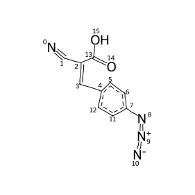 N#CC(=Cc1ccc(N=[N+]=[N-])cc1)C(=O)O